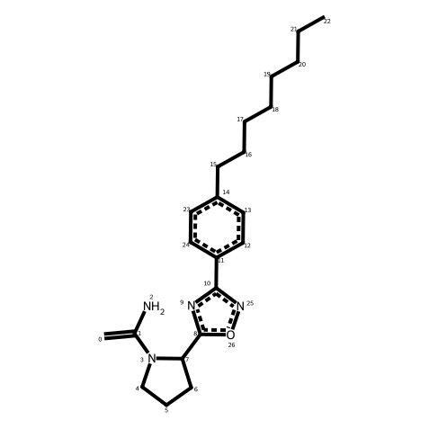 C=C(N)N1CCCC1c1nc(-c2ccc(CCCCCCCC)cc2)no1